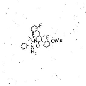 COc1cccc(-c2c(C)c(Cc3c(F)cccc3F)c3n(c2=O)C(C(N)c2ccccc2)C(C)(C)S3)c1F